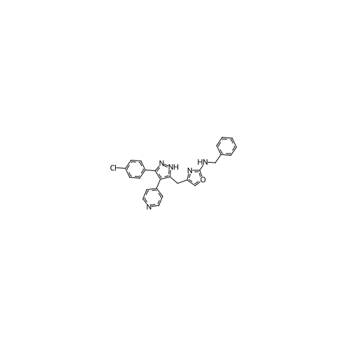 Clc1ccc(-c2n[nH]c(Cc3coc(NCc4ccccc4)n3)c2-c2ccncc2)cc1